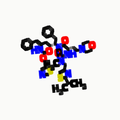 CC(C)c1nc(CN(C)C(=O)N[C@@H](CCN2CCOCC2)C(=O)N[C@H](CC/C(=C/c2ccccc2)NC(=O)OCc2cncs2)Cc2ccccc2)cs1